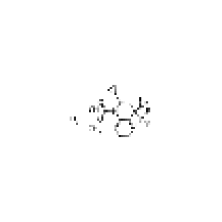 CC(C)(C)OC(=O)N1c2ccccc2C(N)(C(F)(F)F)CC1C1CC1